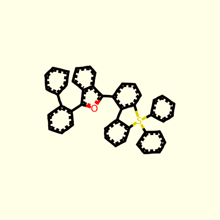 c1ccc(-c2ccccc2-c2oc(-c3cccc4c3-c3ccccc3S4(c3ccccc3)c3ccccc3)c3ccccc23)cc1